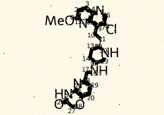 COc1ccc2ncc(Cl)c(CC[C@H]3CC[C@@H](NCc4ccc5c(n4)NC(=O)CO5)CN3)c2n1